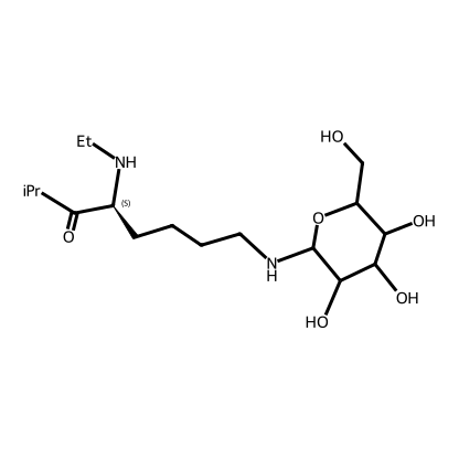 CCN[C@@H](CCCCNC1OC(CO)C(O)C(O)C1O)C(=O)C(C)C